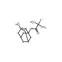 CC(C)(F)C(=O)OC12CC3CC(CC(O)(C3)C1)C2